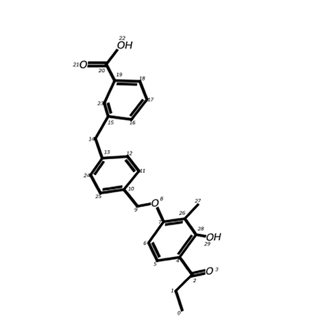 CCC(=O)c1ccc(OCc2ccc(Cc3cccc(C(=O)O)c3)cc2)c(C)c1O